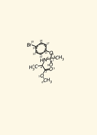 COC(=O)C(C)NP(C)(=O)Oc1ccc(Br)cc1